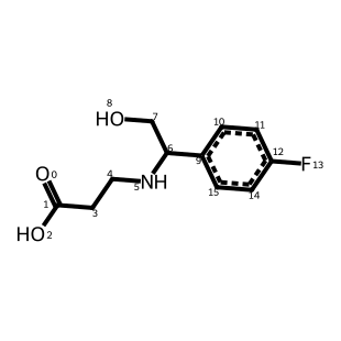 O=C(O)CCNC(CO)c1ccc(F)cc1